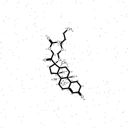 CCCCOCO[C@]1(C(=O)COC(C)=O)CC[C@H]2[C@@H]3CCC4=CC(=O)CC[C@]4(C)[C@H]3CC[C@@]21C